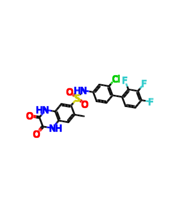 Cc1cc2[nH]c(=O)c(=O)[nH]c2cc1S(=O)(=O)Nc1ccc(-c2ccc(F)c(F)c2F)c(Cl)c1